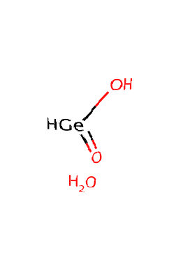 O.[O]=[GeH][OH]